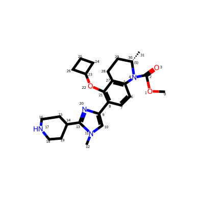 COC(=O)N1c2ccc(-c3cn(C)c(C4CCNCC4)n3)c(OC3CCC3)c2CC[C@@H]1C